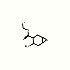 CCOC(=O)C1CC2OC2CC1C